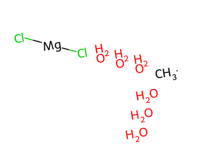 O.O.O.O.O.O.[CH3].[Cl][Mg][Cl]